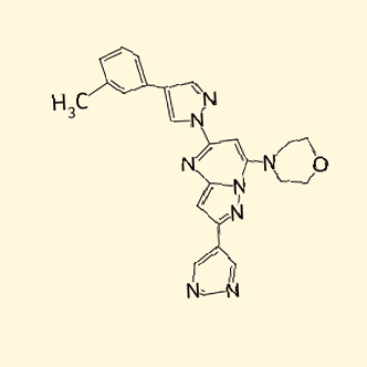 Cc1cccc(-c2cnn(-c3cc(N4CCOCC4)n4nc(-c5cncnc5)cc4n3)c2)c1